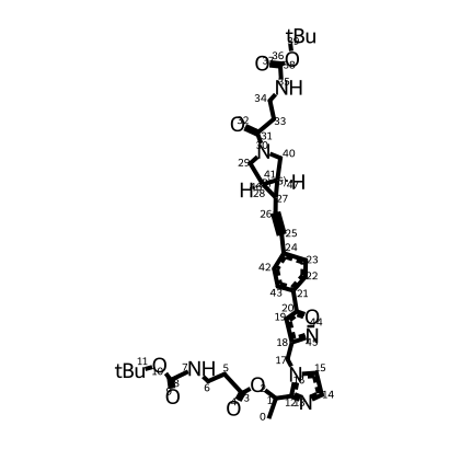 CC(OC(=O)CCNC(=O)OC(C)(C)C)c1nccn1Cc1cc(-c2ccc(C#CC3[C@H]4CN(C(=O)CCNC(=O)OC(C)(C)C)C[C@@H]34)cc2)on1